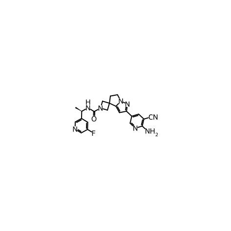 C[C@@H](NC(=O)N1CC2(CCn3nc(-c4cnc(N)c(C#N)c4)cc32)C1)c1cncc(F)c1